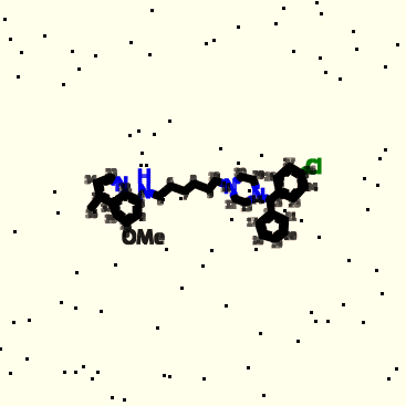 COc1cc(NCCCCCCN2CCN(C(c3ccccc3)c3ccc(Cl)cc3)CC2)c2nccc(C)c2c1